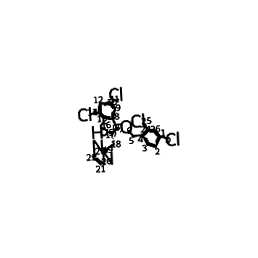 Clc1ccc(CO[C@H]2c3cc(Cl)cc(Cl)c3S[C@H]2Cc2ncc[nH]2)c(Cl)c1